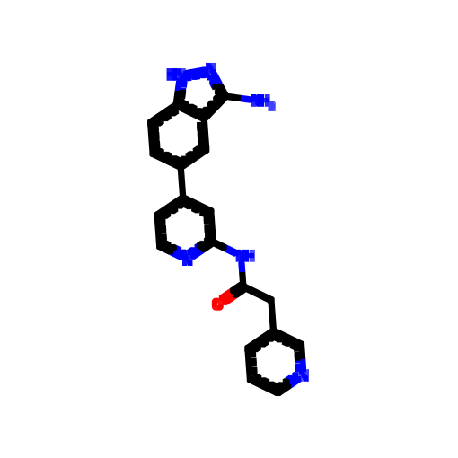 Nc1n[nH]c2ccc(-c3ccnc(NC(=O)Cc4cccnc4)c3)cc12